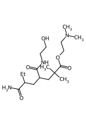 CCC(CC(CC(C)(C)C(=O)OCCN(C)C)C(=O)NCCO)C(N)=O